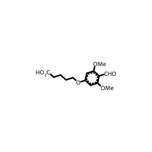 COc1cc(OCCCCC(=O)O)cc(OC)c1C=O